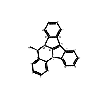 C[C@@H]1c2ccccc2-n2c3ccccc3c3c4ccccc4n1c32